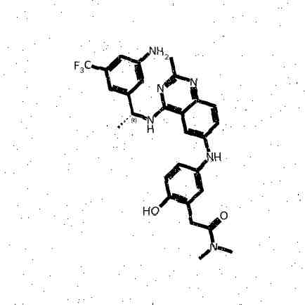 Cc1nc(N[C@H](C)c2cc(N)cc(C(F)(F)F)c2)c2cc(Nc3ccc(O)c(CC(=O)N(C)C)c3)ccc2n1